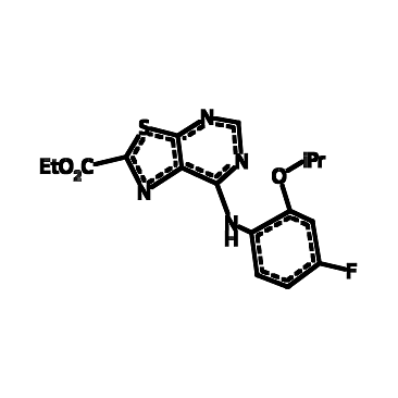 CCOC(=O)c1nc2c(Nc3ccc(F)cc3OC(C)C)ncnc2s1